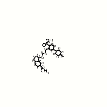 COc1ccc2cccc(CCC=Cc3cc(-c4ccc(F)cc4)ccc3C(=O)O)c2c1